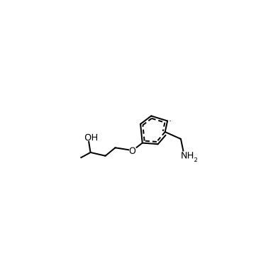 CC(O)CCOc1cc[c]c(CN)c1